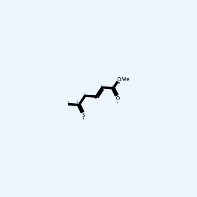 COC(=O)C=CCC(C)=S